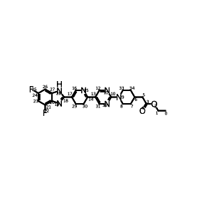 CCOC(=O)CC1CCN(c2ncc(C3=NC=C(c4nc5c(F)cc(F)cc5[nH]4)CC3)cn2)CC1